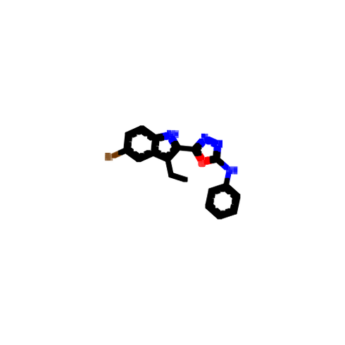 CCc1c(-c2nnc(Nc3ccccc3)o2)[nH]c2ccc(Br)cc12